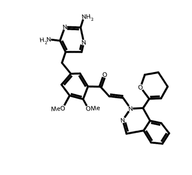 COc1cc(Cc2cnc(N)nc2N)cc(C(=O)C=CN2N=Cc3ccccc3C2C2=CCCCO2)c1OC